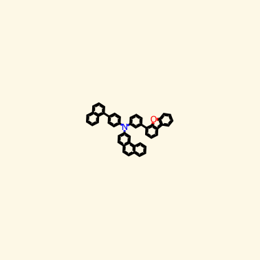 c1cc(-c2cccc3c2oc2ccccc23)cc(N(c2ccc(-c3cccc4ccccc34)cc2)c2ccc3ccc4ccccc4c3c2)c1